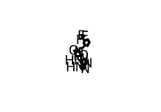 O=C1C[C@H](Nc2ncnc3nc[nH]c23)C(=O)N1CCc1cccc(C(F)(F)F)c1